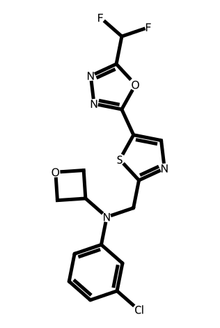 FC(F)c1nnc(-c2cnc(CN(c3cccc(Cl)c3)C3COC3)s2)o1